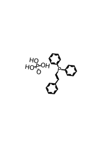 C(=CP(c1ccccc1)c1ccccc1)c1ccccc1.O=P(O)(O)O